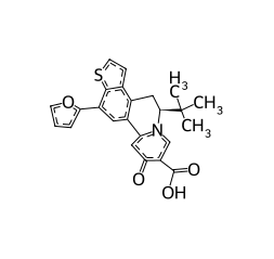 CC(C)(C)[C@@H]1Cc2c(cc(-c3ccco3)c3sccc23)-c2cc(=O)c(C(=O)O)cn21